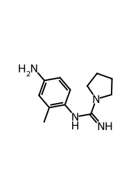 Cc1cc(N)ccc1NC(=N)N1CCCC1